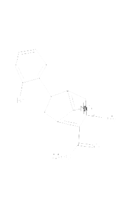 COC(=O)c1c(OC(C)=O)cc2c([N+](=O)[O-])c1CC2c1ccccc1Br